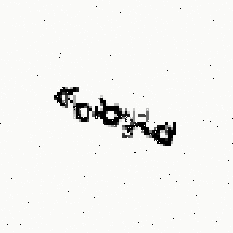 Cc1cc(NC(=O)C=Cc2cccnc2)ccc1N1CCC(N2CCCC2C)C1